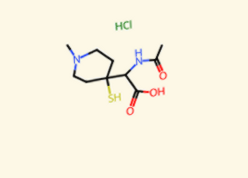 CC(=O)NC(C(=O)O)C1(S)CCN(C)CC1.Cl